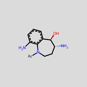 CC(=O)N1CC[C@@H](N)[C@H](O)c2cccc(N)c21